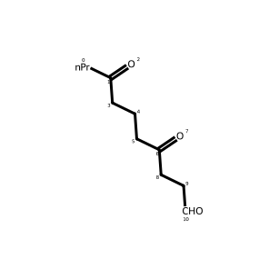 CCCC(=O)CCCC(=O)CCC=O